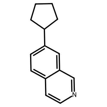 c1cc2ccc(C3CCCC3)cc2cn1